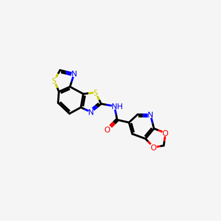 O=C(Nc1nc2ccc3scnc3c2s1)c1cnc2c(c1)OCO2